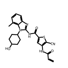 C=CC(=O)Nc1cc(C(=O)Nc2nc3cccc(C)c3n2C2CCC(O)CC2)sc1C#N